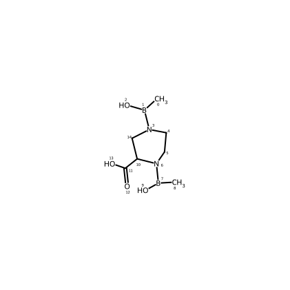 CB(O)N1CCN(B(C)O)C(C(=O)O)C1